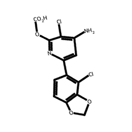 Nc1cc(-c2ccc3c(c2Cl)OCO3)nc(OC(=O)O)c1Cl